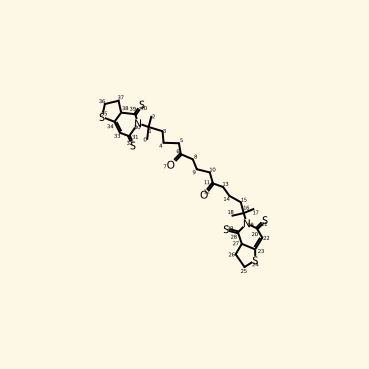 CC(C)(CCCC(=O)CCCC(=O)CCCC(C)(C)N1C(=S)C=C2SCCC2C1=S)N1C(=S)C=C2SCCC2C1=S